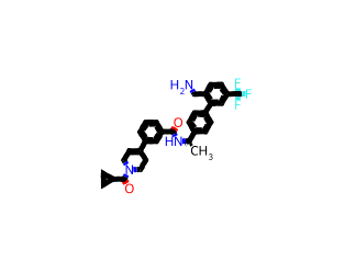 C[C@@H](NC(=O)c1cccc(C2=CCN(C(=O)C3CC3)CC2)c1)c1ccc(-c2cc(C(F)(F)F)ccc2CN)cc1